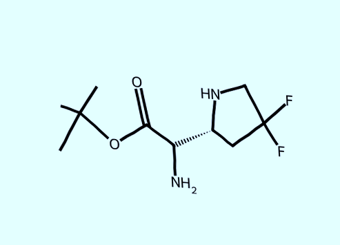 CC(C)(C)OC(=O)C(N)[C@H]1CC(F)(F)CN1